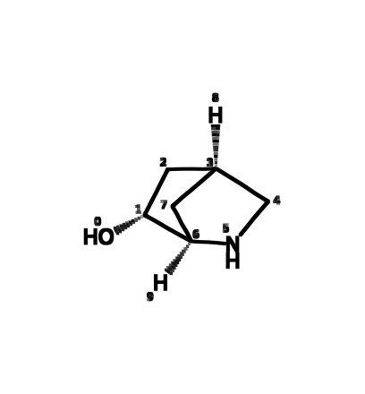 O[C@@H]1C[C@H]2CN[C@@H]1C2